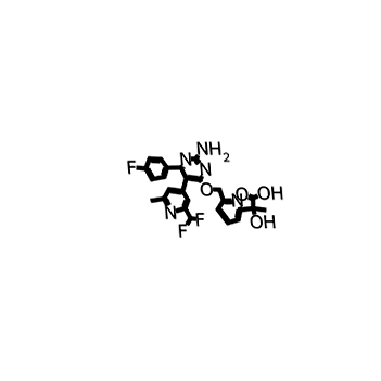 Cc1cc(-c2c(OCc3cccc(C(C)(O)C(=O)O)n3)nc(N)nc2-c2ccc(F)cc2)cc(C(F)F)n1